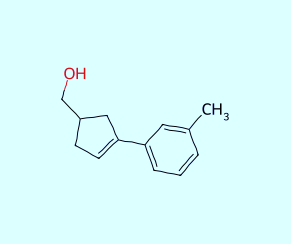 Cc1cccc(C2=CCC(CO)C2)c1